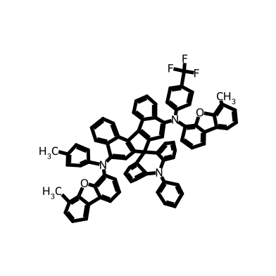 Cc1ccc(N(c2cc3c(c4ccccc24)-c2c(cc(N(c4ccc(C(F)(F)F)cc4)c4cccc5c4oc4c(C)cccc45)c4ccccc24)C32c3ccccc3N(c3ccccc3)c3ccccc32)c2cccc3c2oc2c(C)cccc23)cc1